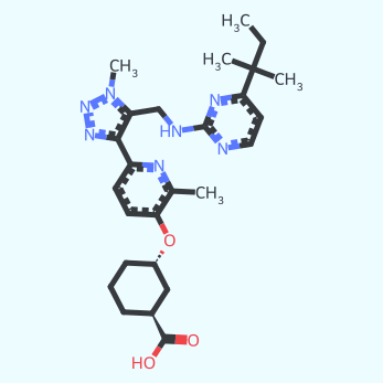 CCC(C)(C)c1ccnc(NCc2c(-c3ccc(O[C@H]4CCC[C@H](C(=O)O)C4)c(C)n3)nnn2C)n1